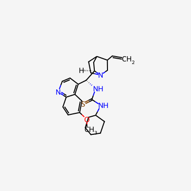 C=CC1CN2CCC1C[C@@H]2[C@H](NC(=S)NC1CCCCC1)c1ccnc2ccc(OC)cc12